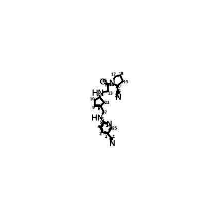 N#Cc1ccc(NCC2=CCC(NCC(=O)N3CCCC3C#N)C2)nc1